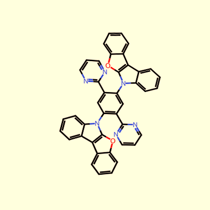 c1cnc(-c2cc(-n3c4ccccc4c4c5ccccc5oc43)c(-c3ncccn3)cc2-n2c3ccccc3c3c4ccccc4oc32)nc1